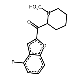 O=C(c1cc2c(F)cccc2o1)C1CCCCN1C(=O)O